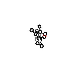 c1ccc(-c2cc(-c3ccccc3)c3oc4c(-c5ccccc5)ccc(-c5nc(-c6ccccc6)nc(-c6cccc7c6sc6ccccc67)n5)c4c3c2)cc1